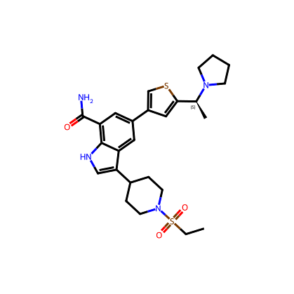 CCS(=O)(=O)N1CCC(c2c[nH]c3c(C(N)=O)cc(-c4csc([C@H](C)N5CCCC5)c4)cc23)CC1